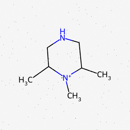 CC1CNCC(C)[N+]1C